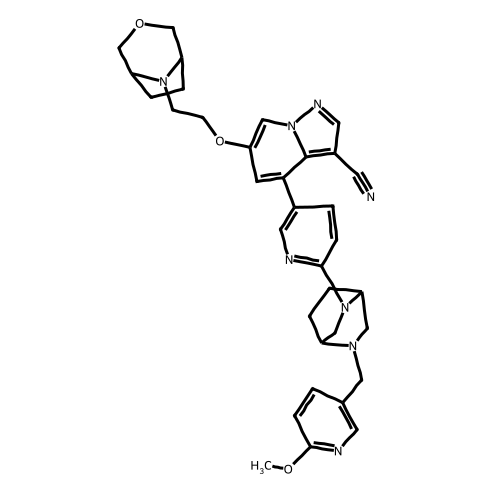 COc1ccc(CN2CC3CCC2CN3c2ccc(-c3cc(OCCN4C5CCC4COC5)cn4ncc(C#N)c34)cn2)cn1